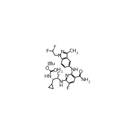 Cc1nn(CC(F)F)c2ccc(Nc3nc(N[C@H](C)[C@@H](NC(=O)OC(C)(C)C)C4CC4)c(F)cc3C(N)=O)cc12